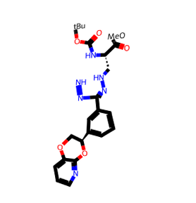 COC(=O)[C@H](CN/N=C(\N=N)c1cccc([C@@H]2COc3cccnc3O2)c1)NC(=O)OC(C)(C)C